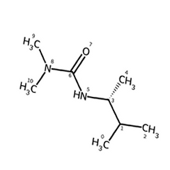 CC(C)[C@@H](C)NC(=O)N(C)C